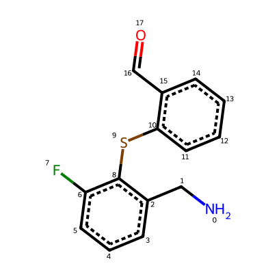 NCc1cccc(F)c1Sc1ccccc1C=O